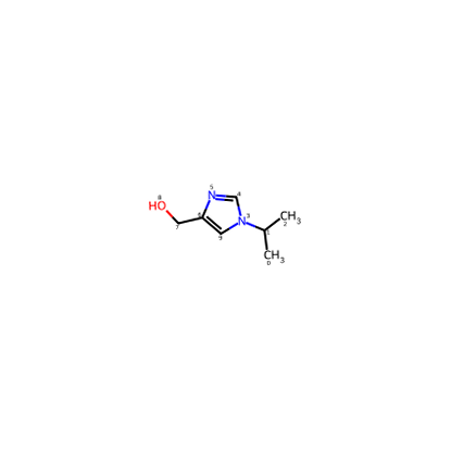 CC(C)n1cnc(CO)c1